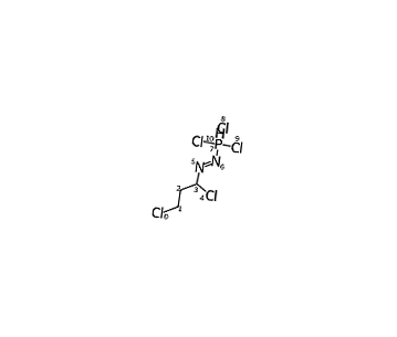 ClCCC(Cl)N=N[PH](Cl)(Cl)Cl